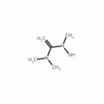 C=C(N(C)C)N(C)CCC